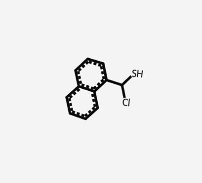 SC(Cl)c1cccc2ccccc12